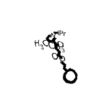 CC(C)CN1C=C(C(=O)CCC(=O)OCCCC2CCCCCCCCC2)C(C)(C)CC1